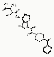 NC(C(=O)O)C(O)C(=O)Nc1cccc2c(C(=O)C(=O)N3CCN(C(=O)c4ccccc4)CC3)c[nH]c12